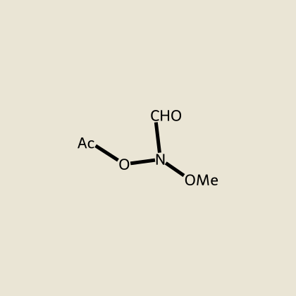 CON(C=O)OC(C)=O